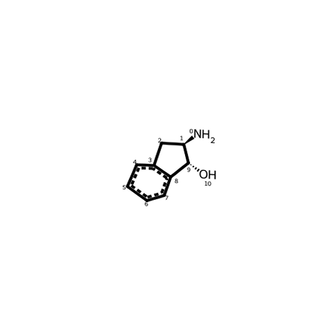 N[C@@H]1Cc2ccccc2[C@H]1O